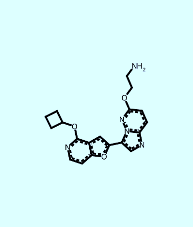 NCCOc1ccc2ncc(-c3cc4c(OC5CCC5)nccc4o3)n2n1